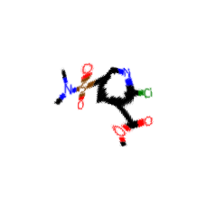 COC(=O)c1cc(S(=O)(=O)N(C)C)cnc1Cl